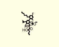 C=CCCCCc1cc(F)cc(C)c1-c1cc(C2CC2)c(F)c([C@H](CC(=O)OCC)NC(=O)[C@H](O)CC=C)c1